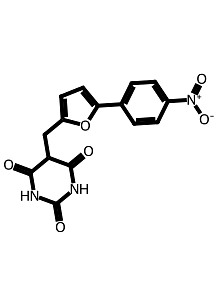 O=C1NC(=O)C(Cc2ccc(-c3ccc([N+](=O)[O-])cc3)o2)C(=O)N1